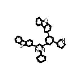 c1ccc(-c2nc(-c3cc(-c4cccnc4)cc(-c4ccc5oc6ccccc6c5c4)c3)cc(-c3ccc4c(c3)sc3ccccc34)n2)cc1